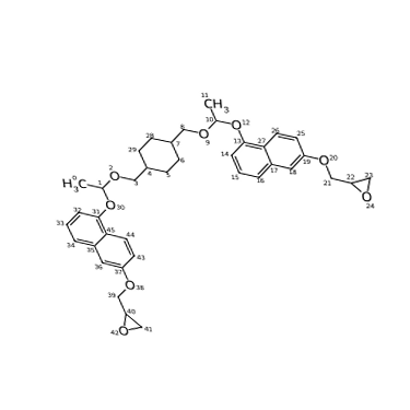 CC(OCC1CCC(COC(C)Oc2cccc3cc(OCC4CO4)ccc23)CC1)Oc1cccc2cc(OCC3CO3)ccc12